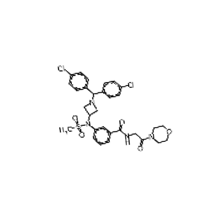 CS(=O)(=O)N(c1cccc(C(=O)NCC(=O)N2CCOCC2)c1)C1CN(C(c2ccc(Cl)cc2)c2ccc(Cl)cc2)C1